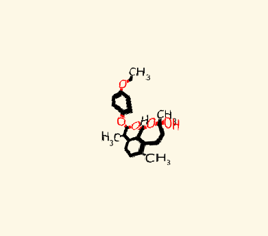 CCOc1ccc(OC2O[C@@H]3OC(C)(O)CCC4C3C(CC[C@H]4C)[C@H]2C)cc1